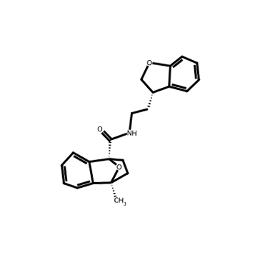 C[C@@]12CC[C@@](C(=O)NCC[C@@H]3COc4ccccc43)(O1)c1ccccc12